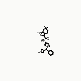 CN1CC(C(c2ccccc2)n2cc(NC(=O)c3n[nH]c4c3CCC(C)(C)C4)cn2)C1